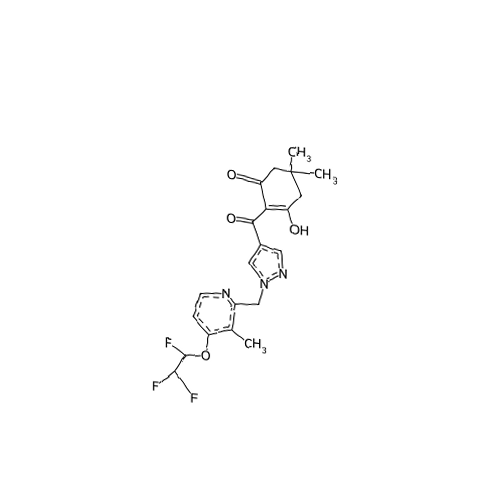 Cc1c(OC(F)C(F)F)ccnc1Cn1cc(C(=O)C2=C(O)CC(C)(C)CC2=O)cn1